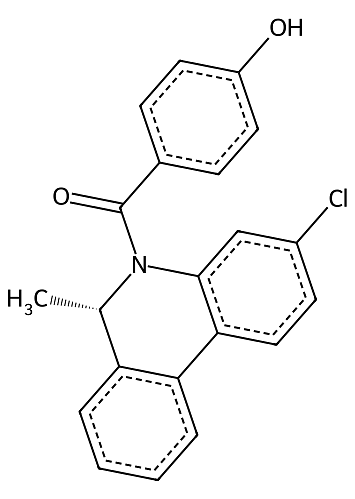 C[C@H]1c2ccccc2-c2ccc(Cl)cc2N1C(=O)c1ccc(O)cc1